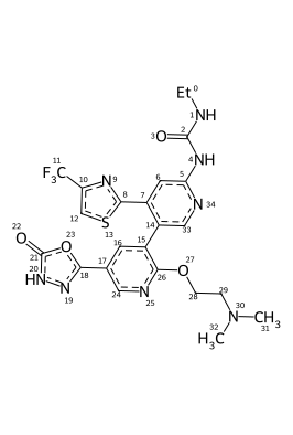 CCNC(=O)Nc1cc(-c2nc(C(F)(F)F)cs2)c(-c2cc(-c3n[nH]c(=O)o3)cnc2OCCN(C)C)cn1